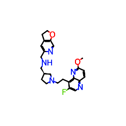 COc1ccc2ncc(F)c(CCN3CC[C@@H](CNCc4cc5c(cn4)OCC5)C3)c2n1